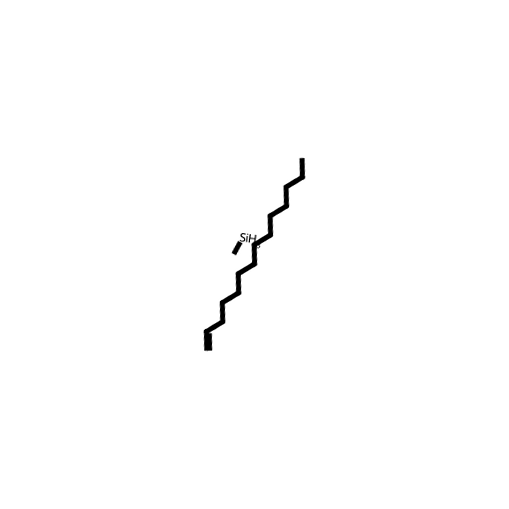 C=CCCCCCCCCCCCC.C[SiH3]